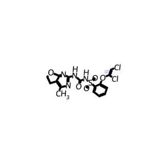 Cc1nc(NC(=O)NS(=O)(=O)c2ccccc2O/C(Cl)=C/Cl)nc2c1CCO2